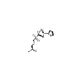 O=S(=O)(CCC=C(F)F)c1cc(-c2cccs2)no1